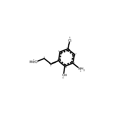 COCCc1cc(Cl)cc(N)c1O